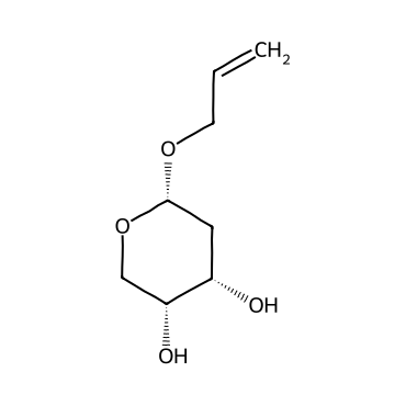 C=CCO[C@@H]1C[C@H](O)[C@H](O)CO1